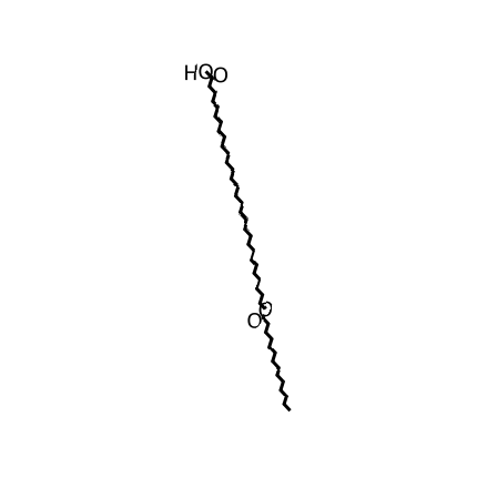 CCCCCCCCCCCCCC(=O)OCCCCCCCCCCCCCCCCCCCCCCCCCCCCCC(=O)O